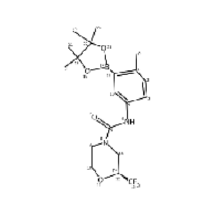 Cc1ccc(NC(=O)N2CCO[C@H](C(F)(F)F)C2)cc1B1OC(C)(C)C(C)(C)O1